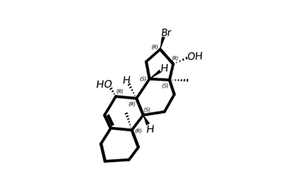 C[C@]12CC[C@H]3[C@@H]([C@@H](O)C=C4CCCC[C@@]43C)[C@@H]1C[C@@H](Br)[C@@H]2O